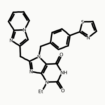 CCn1c(=O)[nH]c(=O)c2c1nc(Cc1cn3ccccc3n1)n2Cc1ccc(-c2nccs2)cc1